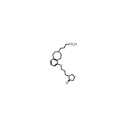 O=C(O)CCCN1CCc2cccc(OCCCN3CCCC3=O)c2CC1